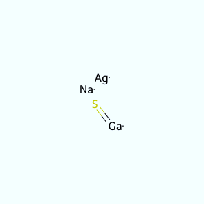 [Ag].[Na].[S]=[Ga]